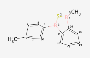 CB1SB(c2ccc(C)cc2)c2ccccc21